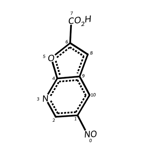 O=Nc1cnc2oc(C(=O)O)cc2c1